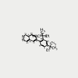 CCC(C)(C)c1ccc(-c2ccc3cnncc3c2)c(C(C)(C)CC)c1